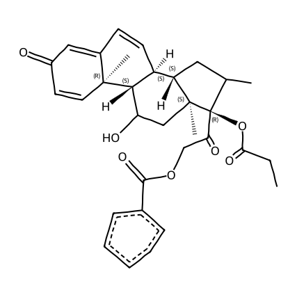 CCC(=O)O[C@]1(C(=O)COC(=O)c2ccccc2)C(C)C[C@H]2[C@@H]3C=CC4=CC(=O)C=C[C@]4(C)[C@H]3C(O)C[C@@]21C